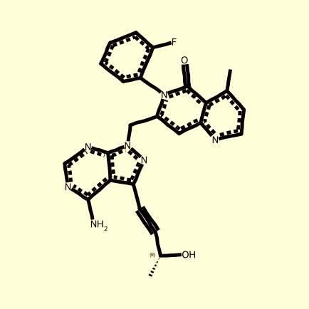 Cc1ccnc2cc(Cn3nc(C#C[C@@H](C)O)c4c(N)ncnc43)n(-c3ccccc3F)c(=O)c12